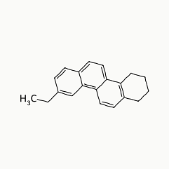 CCc1ccc2ccc3c4c(ccc3c2c1)CCCC4